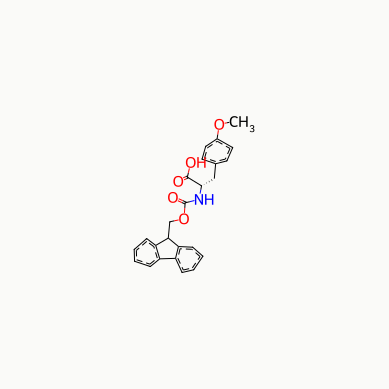 COc1ccc(C[C@H](NC(=O)OCC2c3ccccc3-c3ccccc32)C(=O)O)cc1